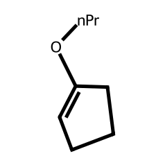 CCCOC1=CCCC1